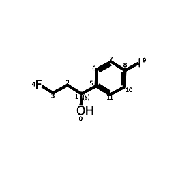 O[C@@H](CCF)c1ccc(I)cc1